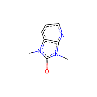 Cn1c(=O)n(C)c2ncccc21